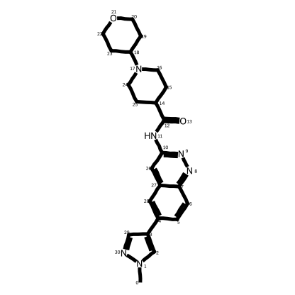 Cn1cc(-c2ccc3nnc(NC(=O)C4CCN(C5CCOCC5)CC4)cc3c2)cn1